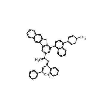 C=C(/N=C(\C=C(/C)c1ccccc1)c1ccccc1)c1cc2c(c(-c3ccc(C4=CCC(C)C=C4)c4ccccc34)c1)Cc1cc3ccccc3cc1-2